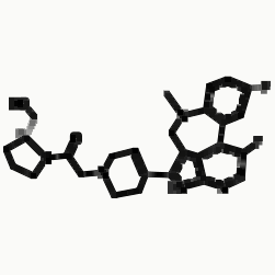 CN1Cc2c(C3=CCN(CC(=O)N4CCC[C@@H]4CO)CC3)[nH]c3ncc(F)c(c23)-c2cc(F)ccc21